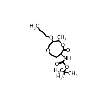 CCCCO[C@@H]1COCC[C@H](NC(=O)OC(C)(C)C)C(=O)O[C@H]1C